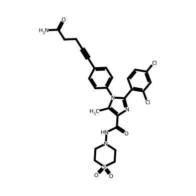 Cc1c(C(=O)NN2CCS(=O)(=O)CC2)nc(-c2ccc(Cl)cc2Cl)n1-c1ccc(C#CCCC(N)=O)cc1